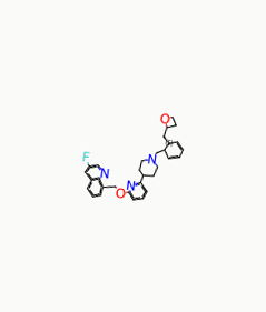 Fc1cnc2c(COc3cccc(C4CCN(CC5C=CC=C[C@@H]5CC5CCO5)CC4)n3)cccc2c1